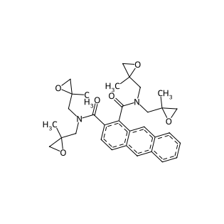 CC1(CN(CC2(C)CO2)C(=O)c2ccc3cc4ccccc4cc3c2C(=O)N(CC2(C)CO2)CC2(C)CO2)CO1